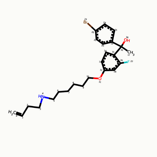 C=CCCNCCCCCCOc1ccc(C(C)(O)c2ccc(Br)cc2)c(F)c1